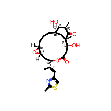 C/C(=C\c1csc(C)n1)[C@@H]1C[C@@H]2O[C@@H]2CCC[C@@H]2C[C@](C)(C(=O)[C@H](C)[C@H]2O)[C@@H](O)CC(=O)O1